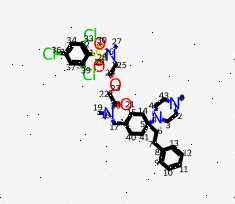 CN1CCN(C2(CCc3ccccc3)CCC(CN(C)C(=O)COCCN(C)S(=O)(=O)c3c(Cl)cc(Cl)cc3Cl)CC2)CC1